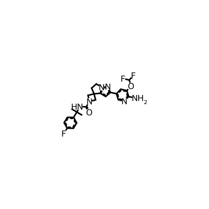 CC(C)(NC(=O)N1CC2(CCn3nc(-c4cnc(N)c(OC(F)F)c4)cc32)C1)c1ccc(F)cc1